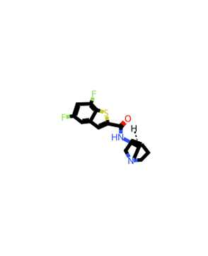 O=C(N[C@@H]1CN2CCC1CC2)c1cc2cc(F)cc(F)c2s1